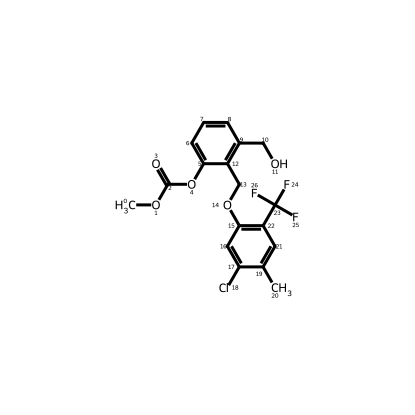 COC(=O)Oc1cccc(CO)c1COc1cc(Cl)c(C)cc1C(F)(F)F